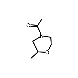 CC(=O)N1CCOC(C)C1